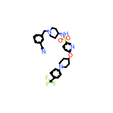 N#Cc1cccc(CN2CCC(NS(=O)(=O)c3ccc(OC4CCN(c5ccc(C(F)(F)F)cc5)CC4)nc3)CC2)c1